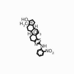 C[C@]12CC[C@H]3[C@@H](CC=C4c5sc(Nc6ccccc6[N+](=O)[O-])nc5CC[C@@]43C)[C@@H]1CC[C@@H]2O